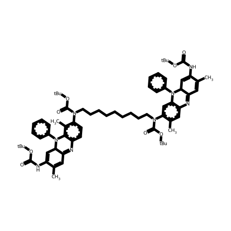 CC1=CC2=Nc3cc(C)c(N(CCCCCCCCCN(C(=O)OC(C)(C)C)c4ccc5c(c4C)N(c4ccccc4)C4C=C(NC(=O)OC(C)(C)C)C(C)=CC4=N5)C(=O)OC(C)(C)C)cc3N(c3ccccc3)C2C=C1NC(=O)OC(C)(C)C